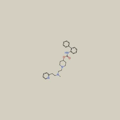 CN(CCc1ccccn1)CCN1CCC(OC(=O)Nc2ccccc2-c2ccccc2)CC1